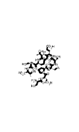 CC(C)C[C@H](NC(=O)[C@@H]1CCCN1C(=O)[C@H](CC(=O)O)NC(=O)[C@@H](N)CO)C(=O)N[C@@H](CO)C(=O)N[C@@H](CCC(=O)O)C(=O)N[C@H](C(=O)N[C@@H](CCCCN)C(=O)N[C@@H](CO)C(=O)N[C@H](C(=O)O)[C@@H](C)O)[C@@H](C)O